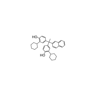 CC(c1ccc(O)c(C2CCCCC2)c1)(c1ccc(O)c(C2CCCCC2)c1)c1ccc2ccccc2c1